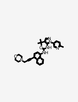 Cc1ccc(-n2ncc(C(C)(C)C)c2NC(=O)Nc2ccc(C#CCN3CCOCC3)c3ccccc23)cn1